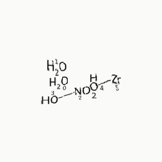 O.O.O=[N+]([O-])O.[OH][Zr]